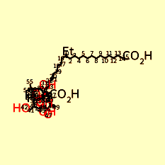 CCC(CCCCCCCCCCCCCC(=O)O)CCCCCCCCCC(CC(=O)O)C(=O)O[C@@]12[C@H](O)[C@@H](C)[C@@]3(O)[C@@H](C=C(CO)C[C@]4(O)C(=O)C(C)=C[C@@H]34)[C@H]1C2(C)C